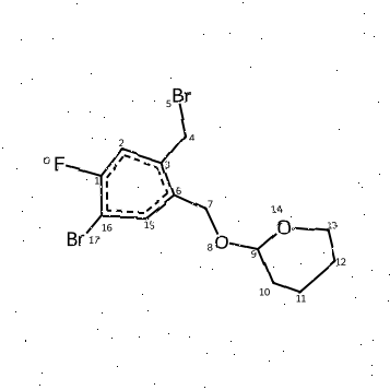 Fc1cc(CBr)c(COC2CCCCO2)cc1Br